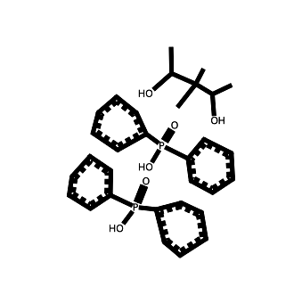 CC(O)C(C)(C)C(C)O.O=P(O)(c1ccccc1)c1ccccc1.O=P(O)(c1ccccc1)c1ccccc1